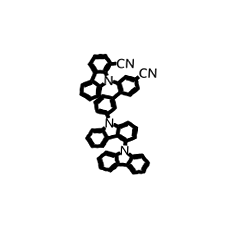 N#Cc1ccc(-c2cccc(-n3c4ccccc4c4c(-n5c6ccccc6c6ccccc65)cccc43)c2)c(-n2c3ccccc3c3cccc(C#N)c32)c1